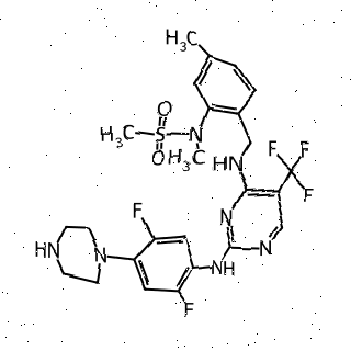 Cc1ccc(CNc2nc(Nc3cc(F)c(N4CCNCC4)cc3F)ncc2C(F)(F)F)c(N(C)S(C)(=O)=O)c1